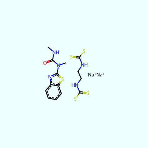 CNC(=O)N(C)c1nc2ccccc2s1.S=C([S-])NCCNC(=S)[S-].[Na+].[Na+]